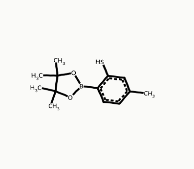 Cc1ccc(B2OC(C)(C)C(C)(C)O2)c(S)c1